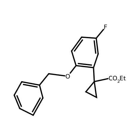 CCOC(=O)C1(c2cc(F)ccc2OCc2ccccc2)CC1